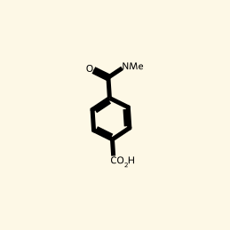 [CH2]NC(=O)c1ccc(C(=O)O)cc1